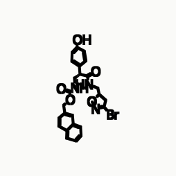 O=C(NC[C@H](C(=O)NCC1CC(Br)=NO1)c1ccc(O)cc1)OCc1ccc2ccccc2c1